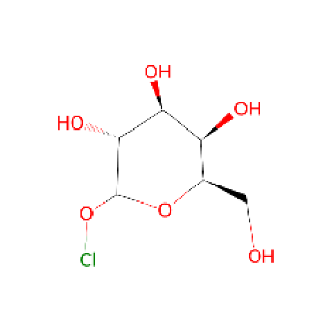 OC[C@H]1OC(OCl)[C@H](O)[C@@H](O)[C@H]1O